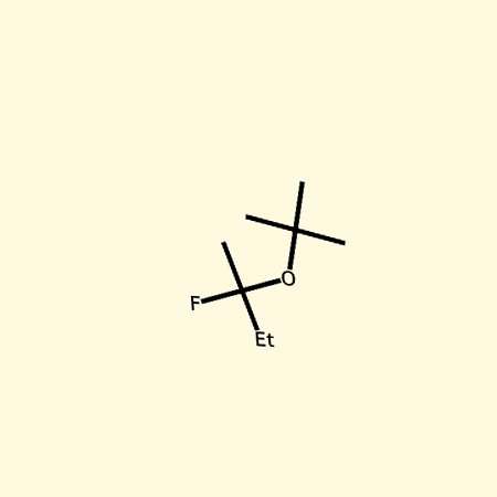 CCC(C)(F)OC(C)(C)C